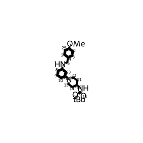 COc1ccc(CNc2cccc(N3CCC(NC(=O)OC(C)(C)C)CC3)c2)cc1